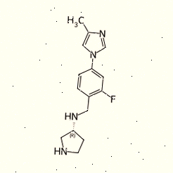 Cc1cn(-c2ccc(CN[C@@H]3CCNC3)c(F)c2)cn1